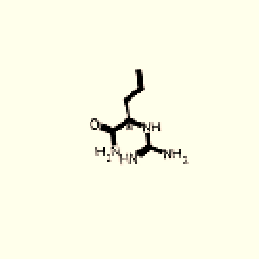 CCC[C@@H](NC(=N)N)C(N)=O